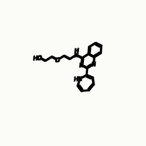 OCCOCCNc1nc(C2=CC=CC=CN2)nc2ccccc12